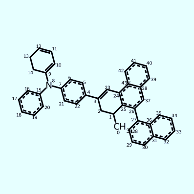 CC1CC(c2ccc(N(C3=CC=CCC3)c3ccccc3)cc2)=Cc2c1c(-c1cccc3ccccc13)cc1ccccc21